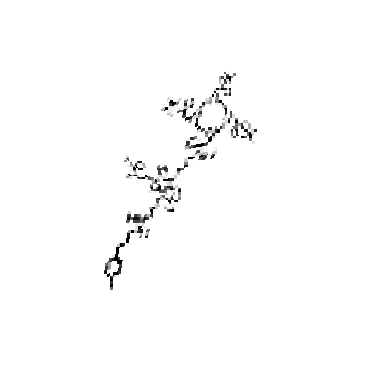 COC(=O)C(C)CCC(=O)NC(CCCCNC(=O)CN1CCN(CC(=O)OC(C)(C)C)CCN(CC(=O)OC(C)(C)C)CCN(CC(=O)OC(C)(C)C)CC1)C(=O)NC(CCCCNC(=O)CCCc1ccc(I)cc1)C(=O)OC